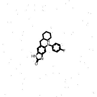 O=C1[N]c2cc(Nc3ccc(F)cc3)c(CC3CCCCC3)cc2N1